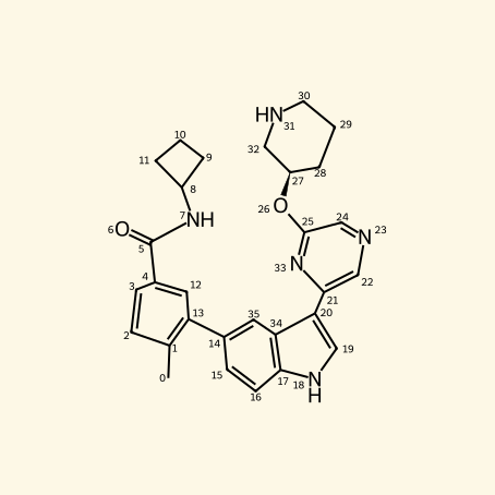 Cc1ccc(C(=O)NC2CCC2)cc1-c1ccc2[nH]cc(-c3cncc(O[C@@H]4CCCNC4)n3)c2c1